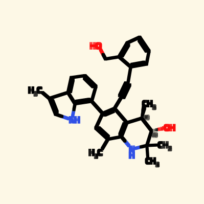 Cc1cc(-c2cccc3c(C)c[nH]c23)c(C#Cc2ccccc2CO)c2c1NC(C)(C)[C@@H](O)[C@@H]2C